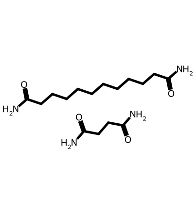 NC(=O)CCC(N)=O.NC(=O)CCCCCCCCCCC(N)=O